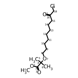 COC(=O)C(C)(C)OCCCCCCCCC(=O)CCl